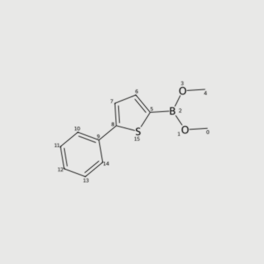 COB(OC)c1ccc(-c2ccccc2)s1